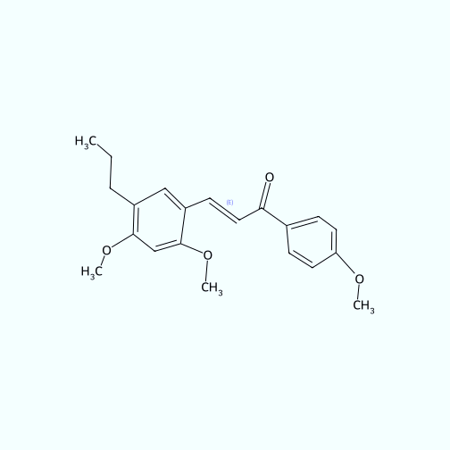 CCCc1cc(/C=C/C(=O)c2ccc(OC)cc2)c(OC)cc1OC